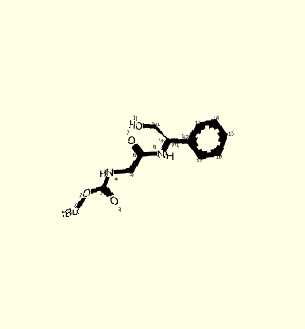 CC(C)(C)OC(=O)NCC(=O)N[C@@H](CO)c1ccccc1